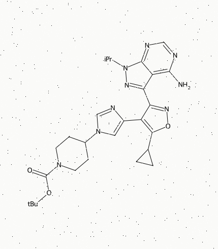 CC(C)n1nc(-c2noc(C3CC3)c2-c2cn(C3CCN(C(=O)OC(C)(C)C)CC3)cn2)c2c(N)ncnc21